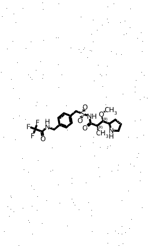 CO[C@@H](C1CCCN1)[C@@H](C)C(=O)NS(=O)(=O)Cc1ccc(CNC(=O)C(F)(F)F)cc1